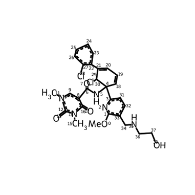 COc1nc(C2(NC(=O)c3cn(C)c(=O)n(C)c3=O)C=CC=C(c3ccccc3Cl)C2Cl)ccc1CNCCO